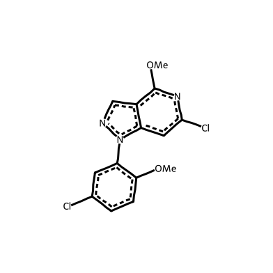 COc1ccc(Cl)cc1-n1ncc2c(OC)nc(Cl)cc21